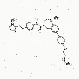 CCCCOCCOc1ccc(-c2ccc3c(c2)C=C(C(=O)Nc2ccc(CCc4nccn4CCC)cc2)CCN3CCC)cc1